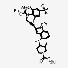 CCCn1c(C#CCN(C(=O)OC(C)(C)C)c2c(F)cc(S(C)(=O)=O)cc2OC)cc2c(NC3CCN(C(=O)OC(C)(C)C)CC3C)cccc21